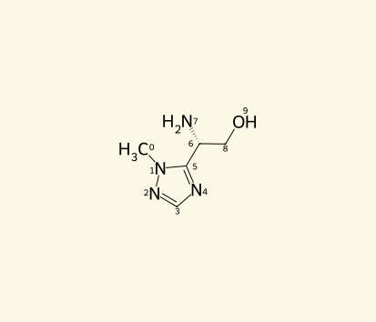 Cn1ncnc1[C@H](N)CO